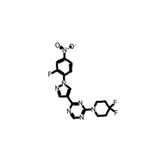 O=[N+]([O-])c1ccc(-n2cc(-c3ncnc(N4CCC(F)(F)CC4)n3)cn2)c(F)c1